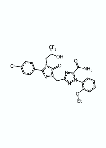 CCOc1ccccc1-n1nc(Cn2nc(-c3ccc(Cl)cc3)n(C[C@@H](O)C(F)(F)F)c2=O)nc1C(N)=O